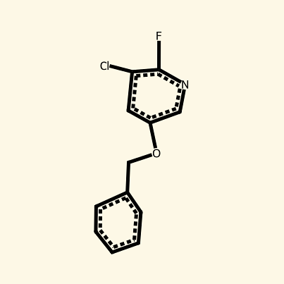 Fc1ncc(OCc2ccccc2)cc1Cl